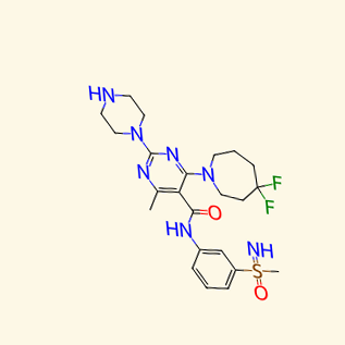 Cc1nc(N2CCNCC2)nc(N2CCCC(F)(F)CC2)c1C(=O)Nc1cccc(S(C)(=N)=O)c1